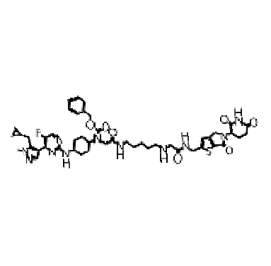 Cn1ncc(-c2nc(NC3CCC(N(CC(=O)NCCCCCNCC(=O)NCc4cc5c(s4)C(=O)N(C4CCC(=O)NC4=O)C5)C(=O)OCc4ccccc4)CC3)ncc2F)c1CC1CC1